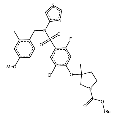 COc1ccc(CN(c2cscn2)S(=O)(=O)c2cc(Cl)c(OC3(C)CCN(C(=O)OC(C)(C)C)C3)cc2F)c(C)c1